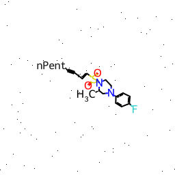 CCCCCC#C/C=C/S(=O)(=O)N1CCN(c2ccc(F)cc2)C[C@H]1C